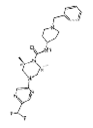 C[C@@H]1CN(c2cnc(C(F)F)cn2)C[C@@H](C)N1C(=O)NC1CCN(Cc2ccccc2)CC1